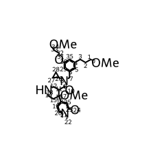 COCCCc1cc(CN(C(=O)C2CNCCC2(OC)c2ccn(C)c(=O)c2)C2CC2)cc(OCCOC)c1